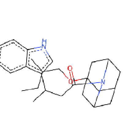 CCC(C)COC12CC3CC(C1)N(C(=O)CC(C)c1c[nH]c4ccccc14)C(C3)C2